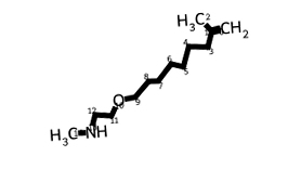 C=C(C)CCCCCCCOCCNC